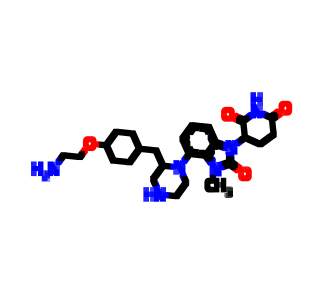 Cn1c(=O)n(C2CCC(=O)NC2=O)c2cccc(N3CCNCC3CC3CCC(OCCN)CC3)c21